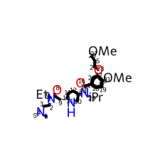 CCN(CCN(C)C)C(=O)C[C@@H]1CCC(N(C(=O)c2ccc(OC)c(OCCCOC)c2)C(C)C)CN1